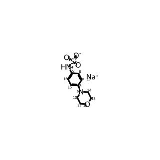 O=S(=O)([O-])Nc1ccc(N2CCOCC2)cc1.[Na+]